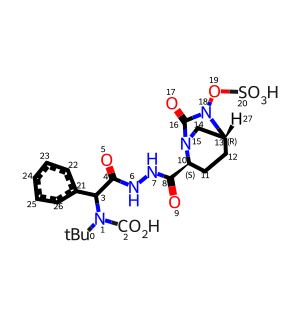 CC(C)(C)N(C(=O)O)C(C(=O)NNC(=O)[C@@H]1CC[C@@H]2CN1C(=O)N2OS(=O)(=O)O)c1ccccc1